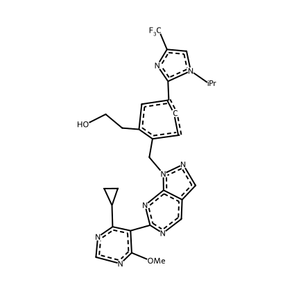 COc1ncnc(C2CC2)c1-c1ncc2cnn(Cc3ccc(-c4nc(C(F)(F)F)cn4C(C)C)cc3CCO)c2n1